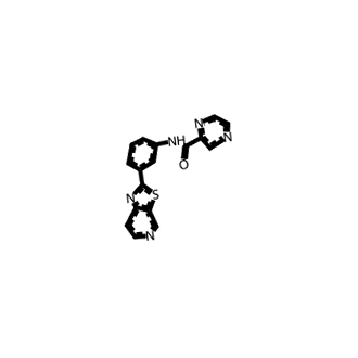 O=C(Nc1cccc(-c2nc3ccncc3s2)c1)c1cnccn1